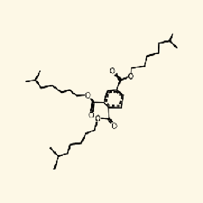 CC(C)CCCCCOC(=O)c1ccc(C(=O)OCCCCCC(C)C)c(C(=O)OCCCCCC(C)C)c1